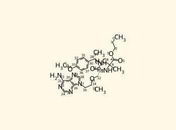 CCCOC(=O)C(C)(C)N[P@](=O)(CO[C@H](C)Cn1cnc2c(N)ncnc21)N[C@@H](C)c1ccc(OC)cc1